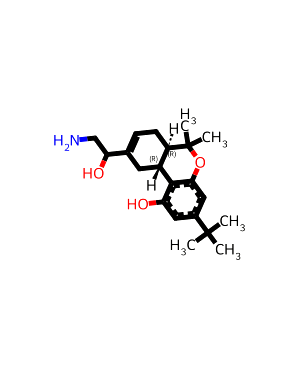 CC(C)(C)c1cc(O)c2c(c1)OC(C)(C)[C@@H]1CC=C(C(O)CN)C[C@@H]21